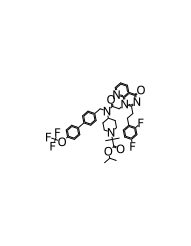 CC(C)OC(=O)C(C)(C)N1CCC(N(Cc2ccc(-c3ccc(OC(F)(F)F)cc3)cc2)C(=O)Cn2c(CCc3ccc(F)cc3F)nc(=O)c3cccnc32)CC1